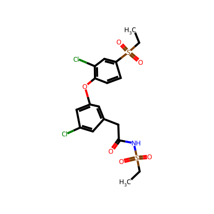 CCS(=O)(=O)NC(=O)Cc1cc(Cl)cc(Oc2ccc(S(=O)(=O)CC)cc2Cl)c1